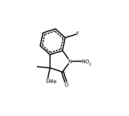 CSC1(C)C(=O)N([N+](=O)[O-])c2c(F)cccc21